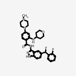 CN1CCN(c2ccc(C(=O)Nc3n[nH]c4ccc(C(F)c5ccccc5F)cc34)c(NC3CCOCC3)c2)CC1